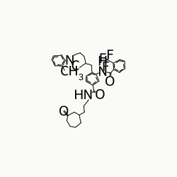 Cc1ccccc1N1CCCC(Cc2ccc(C(=O)NCCCC3CCCCC(=O)C3)cc2NC(=O)c2ccccc2C(F)(F)F)CC1